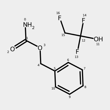 NC(=O)OCc1ccccc1.OC(F)(F)CF